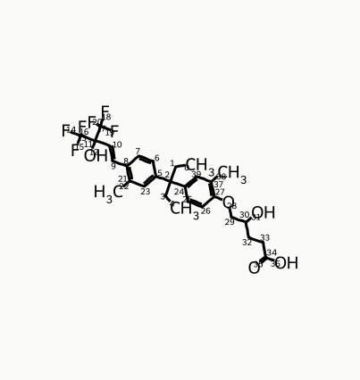 CCC(CC)(c1ccc(/C=C/C(O)(C(F)(F)F)C(F)(F)F)c(C)c1)c1ccc(OCC(O)CCC(=O)O)c(C)c1